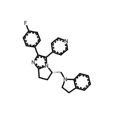 Fc1ccc(-c2nc3n(c2-c2ccncc2)[C@H](CN2CCc4ccccc42)CC3)cc1